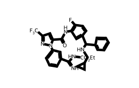 CCOC(=O)NC(=N)c1cccc(-n2nc(C(F)(F)F)cc2C(=O)Nc2cc(C(NCC3CC3)c3ccccc3)ccc2F)c1